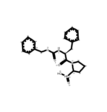 O=C(N[C@@H](Cc1ccccc1)C(=O)N1CCCC1[PH](=O)O)OCc1ccccc1